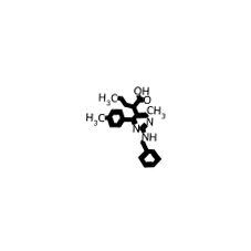 CCCC(C(=O)O)c1c(C)nc(NCc2ccccc2)nc1-c1ccc(C)cc1